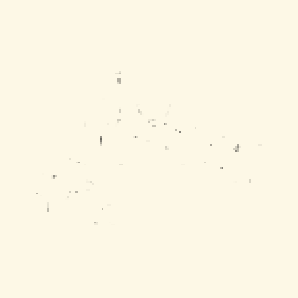 Cc1c(-c2cc3ccccc3n2CC2CC2)sc2cc(C(=O)N3CCCC(NC(=O)OC(C)(C)C)C3)cc(CO)c12